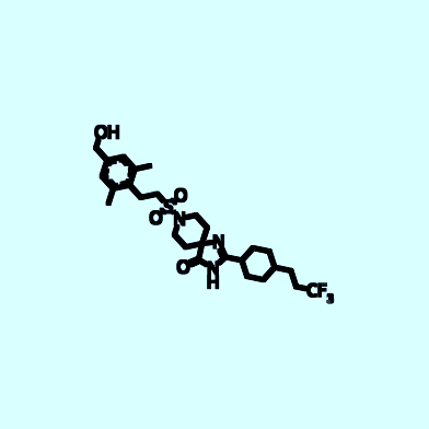 Cc1cc(CO)cc(C)c1CCS(=O)(=O)N1CCC2(CC1)N=C(C1CCC(CCC(F)(F)F)CC1)NC2=O